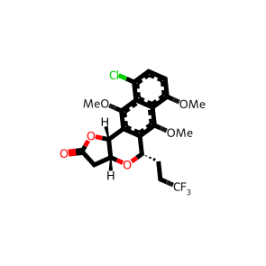 COc1ccc(Cl)c2c(OC)c3c(c(OC)c12)[C@H](CCC(F)(F)F)O[C@@H]1CC(=O)O[C@H]31